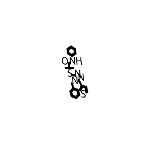 CC(C)(Sc1nnc(-c2ccsc2)n1Cc1ccccc1)C(=O)Nc1ccccc1